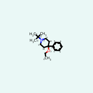 CCOC1(c2ccccc2)CCN(C(C)(C)C)CC1